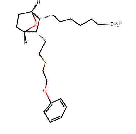 O=C(O)CCCCCC[C@@H]1[C@H](CCSCCOc2ccccc2)[C@@H]2CC[C@H]1O2